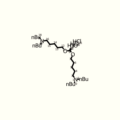 CCCCN(CCCC)CCCCCOC(=O)OCCCCCN(CCCC)CCCC.Cl.Cl.O